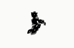 C=CCC1C(c2cccnc2)=CN=C1CCc1c(Cl)cccc1Cl